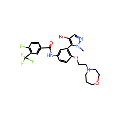 Cn1ncc(Br)c1-c1cc(NC(=O)c2ccc(F)c(C(F)(F)F)c2)ccc1OCCN1CCCOCC1